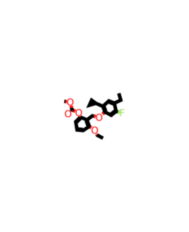 CCOc1cccc(OC(=O)OC)c1COc1cc(F)c(CC)cc1C1CC1